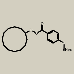 CCCCCCOc1ccc(C(=O)OO[C]2CCCCCCCCCCC2)cc1